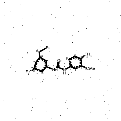 COc1cc(NC(=O)Nc2cc(CF)cc(C(F)(F)F)c2)ccc1C